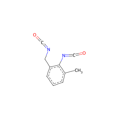 Cc1cccc(CN=C=O)c1N=C=O